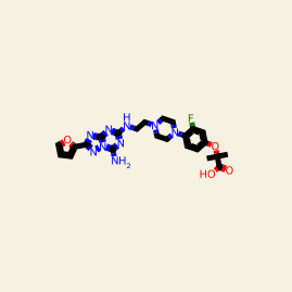 CC(C)(Oc1ccc(N2CCN(CCNc3nc(N)n4nc(-c5ccco5)nc4n3)CC2)c(F)c1)C(=O)O